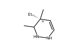 CC[C@]1(C)C=CNNC1C